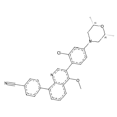 COc1c(-c2ccc(N3C[C@@H](C)O[C@@H](C)C3)cc2Cl)cnc2c(-c3ccc(C#N)cc3)cccc12